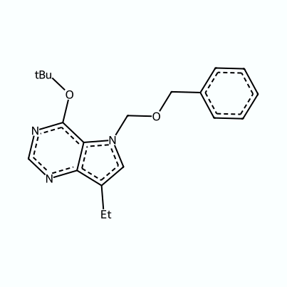 CCc1cn(COCc2ccccc2)c2c(OC(C)(C)C)ncnc12